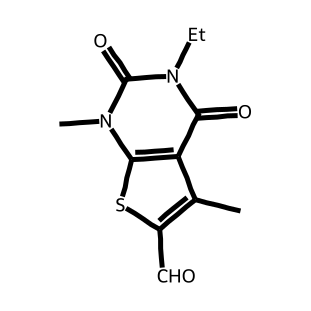 CCn1c(=O)c2c(C)c(C=O)sc2n(C)c1=O